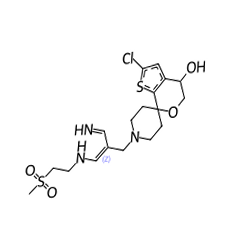 CS(=O)(=O)CCN/C=C(\C=N)CN1CCC2(CC1)OCC(O)c1cc(Cl)sc12